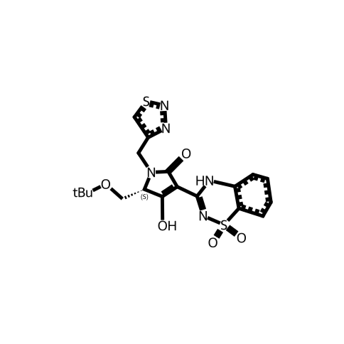 CC(C)(C)OC[C@H]1C(O)=C(C2=NS(=O)(=O)c3ccccc3N2)C(=O)N1Cc1csnn1